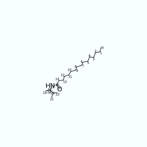 CCCCCCCCCCCCCCCC(=O)N[C@H](C)C(C)C